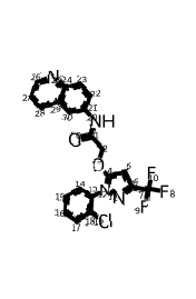 O=C(COc1cc(C(F)(F)F)nn1-c1ccccc1Cl)Nc1ccc2ncccc2c1